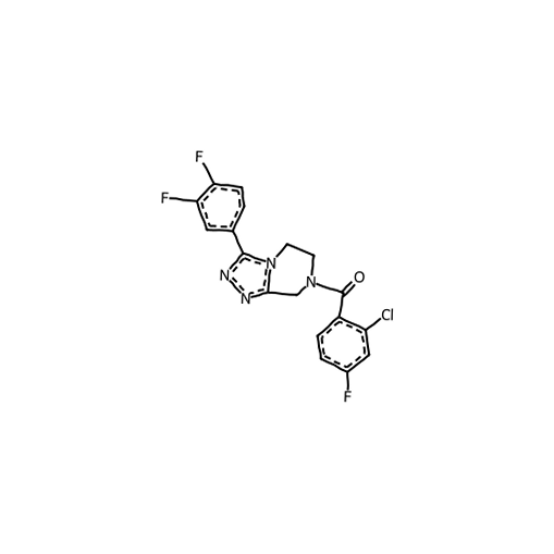 O=C(c1ccc(F)cc1Cl)N1CCn2c(nnc2-c2ccc(F)c(F)c2)C1